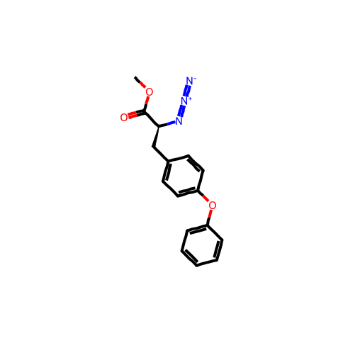 COC(=O)[C@H](Cc1ccc(Oc2ccccc2)cc1)N=[N+]=[N-]